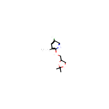 CNc1cc(Br)cnc1OCC1COC(C)(C)O1